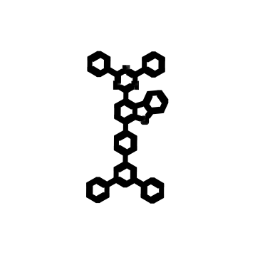 c1ccc(-c2cc(-c3ccccc3)cc(-c3ccc(-c4ccc(-c5nc(-c6ccccc6)nc(-c6ccccc6)n5)c5c4oc4ccccc45)cc3)c2)cc1